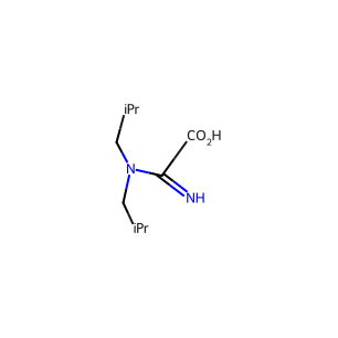 CC(C)CN(CC(C)C)C(=N)C(=O)O